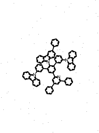 c1ccc(-c2cc(-c3ccccc3)nc(-c3cc(-c4cccc(-n5c6ccccc6c6ccccc65)c4)c(-n4c5ccccc5c5cc(-c6ccccc6)ccc54)c(-c4cccc(-n5c6ccccc6c6ccccc65)c4)c3)c2)cc1